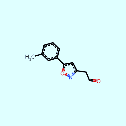 Cc1cccc(-c2cc(CC=O)no2)c1